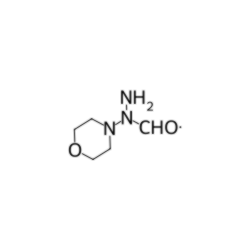 NN([C]=O)N1CCOCC1